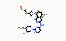 CO[C@@H]1CCN(c2nccc(Nc3cc4c(C(C)C)ccc(N5CC(CC[S+]=O)C5)c4cn3)n2)C[C@@H]1F